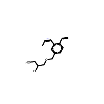 C=Cc1ccc(COCC(CC)CO)cc1/C=C\C